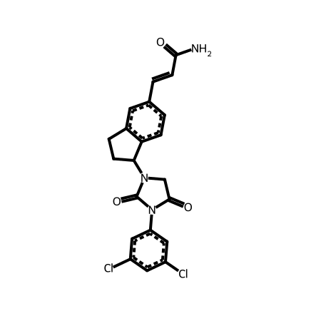 NC(=O)/C=C/c1ccc2c(c1)CCC2N1CC(=O)N(c2cc(Cl)cc(Cl)c2)C1=O